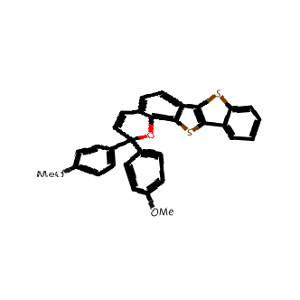 COc1ccc(C2(c3ccc(OC)cc3)C=Cc3ccc4c(sc5c6ccccc6sc45)c3O2)cc1